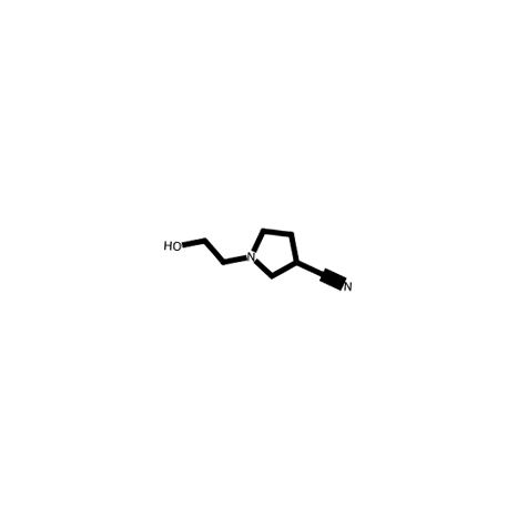 N#CC1CCN(CCO)C1